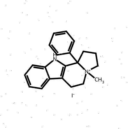 C[N+]12CCCC1(c1ccccc1)c1[nH]c3ccccc3c1CC2.[I-]